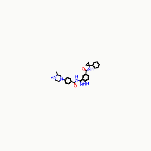 CC1CN(c2ccc(C(=O)Nc3n[nH]c4ccc(C(=O)NC5(c6ccccc6)CC5)cc34)cc2)CCN1